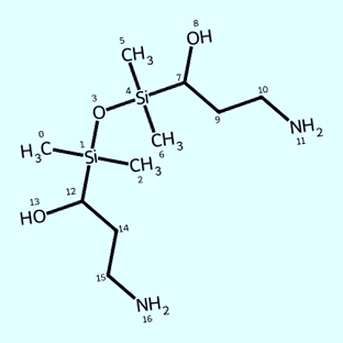 C[Si](C)(O[Si](C)(C)C(O)CCN)C(O)CCN